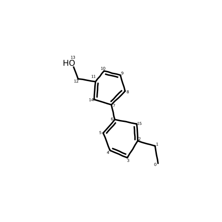 CCc1cccc(-c2cccc(CO)c2)c1